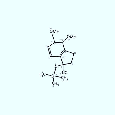 [C-]#[N+]C1(O[Si](C)(C)C)CCc2c1ccc(OC)c2OC